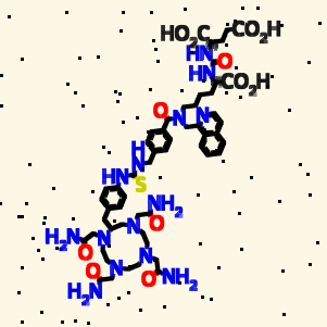 NC(=O)CN1CCN(CC(N)=O)CCN(CC(N)=O)C(Cc2ccc(NC(=S)NCc3ccc(C(=O)N(CCCC[C@@H](NC(=O)N[C@H](CCC(=O)O)C(=O)O)C(=O)O)Cc4nccc5ccccc45)cc3)cc2)CN(CC(N)=O)CC1